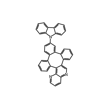 c1ccc2c(c1)-c1cc(-n3c4ccccc4c4ccccc43)ccc1-c1ccccc1-c1c-2cnc2cccnc12